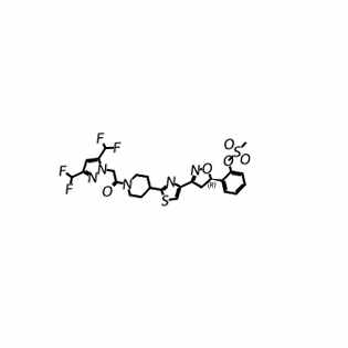 CS(=O)(=O)Oc1ccccc1[C@H]1CC(c2csc(C3CCN(C(=O)Cn4nc(C(F)F)cc4C(F)F)CC3)n2)=NO1